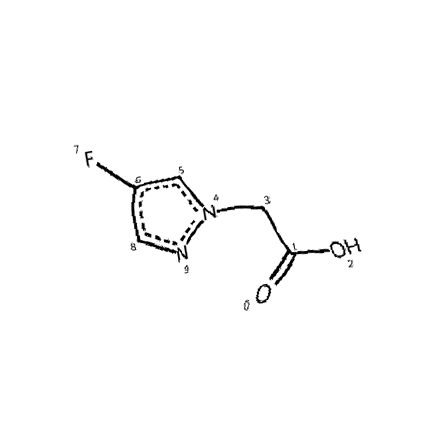 O=C(O)Cn1cc(F)cn1